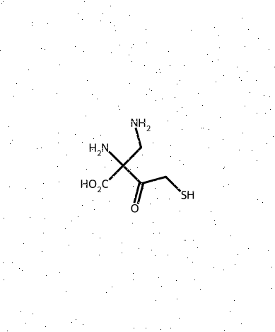 NCC(N)(C(=O)O)C(=O)CS